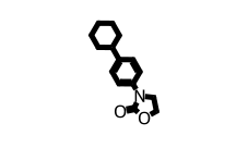 O=C1OCCN1c1ccc(C2CCCCC2)cc1